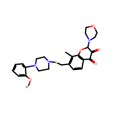 CCOc1ccccc1N1CCN(CCc2ccc3c(c2C)OC(N2CCOCC2)C(=O)C3=O)CC1